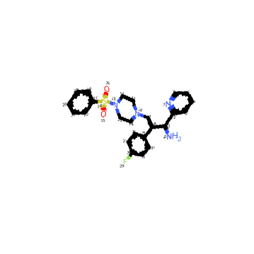 NC(c1ccccn1)C(CN1CCN(S(=O)(=O)c2ccccc2)CC1)c1ccc(F)cc1